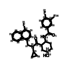 Cl.O=C(NC1CCNCC1C(=O)N(Cc1ccc(F)c2ccccc12)C1CC1)c1ccc(F)c(F)c1